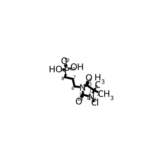 CC1(C)C(=O)N(CCCP(=O)(O)O)C(=O)N1Cl